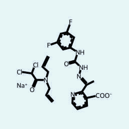 C/C(=N\NC(=O)Nc1cc(F)cc(F)c1)c1ncccc1C(=O)[O-].C=CCN(CC=C)C(=O)C(Cl)Cl.[Na+]